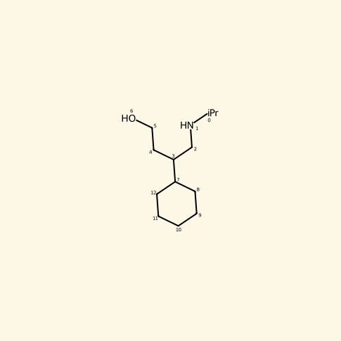 CC(C)NCC(CCO)C1CCCCC1